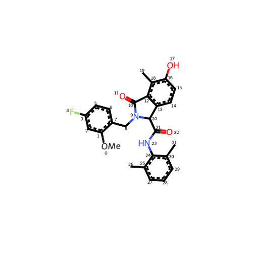 COc1cc(F)ccc1CN1C(=O)c2c(ccc(O)c2C)C1C(=O)Nc1c(C)cccc1C